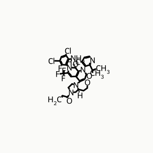 C=CC(=O)N1CCN2c3c(c(=O)n(-c4c(C)ccnc4C(C)C)c4c(=O)n(-c5c(N)c(Cl)cc(Cl)c5F)c(C(F)(F)F)cc34)OCC[C@@H]2C1